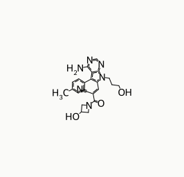 Cc1ccc(-c2c(C=C(C#N)C(=O)N3CC(O)C3)n(CCCO)c3ncnc(N)c23)cc1